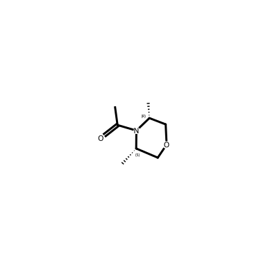 CC(=O)N1[C@H](C)COC[C@@H]1C